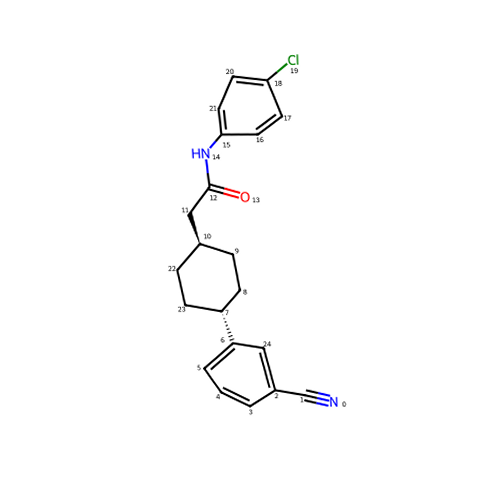 N#Cc1cccc([C@H]2CC[C@H](CC(=O)Nc3ccc(Cl)cc3)CC2)c1